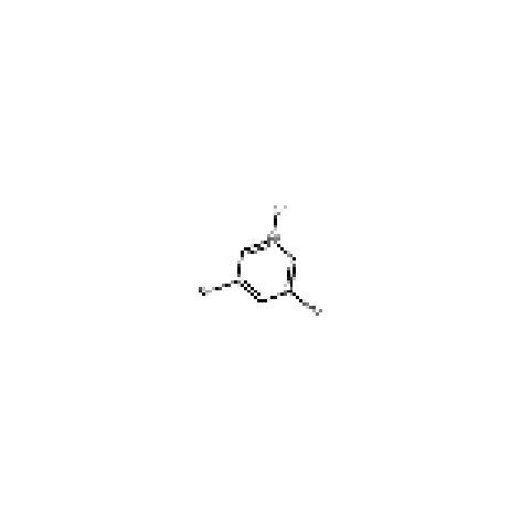 [O-][n+]1[c]c(Br)cc(Br)c1